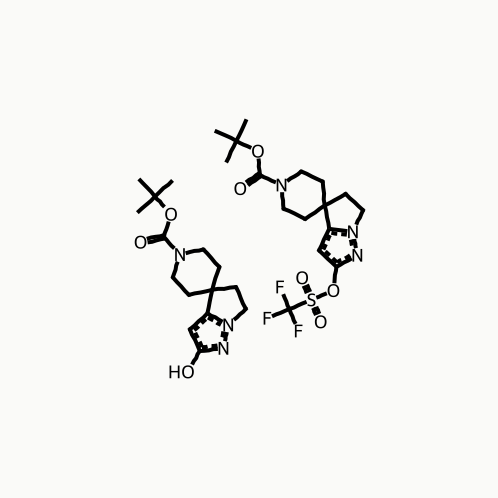 CC(C)(C)OC(=O)N1CCC2(CC1)CCn1nc(O)cc12.CC(C)(C)OC(=O)N1CCC2(CC1)CCn1nc(OS(=O)(=O)C(F)(F)F)cc12